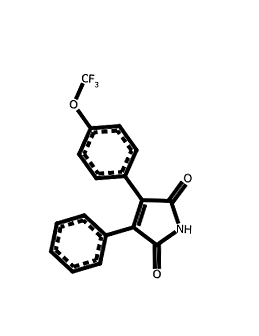 O=C1NC(=O)C(c2ccc(OC(F)(F)F)cc2)=C1c1ccccc1